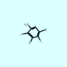 O=[N+]([O-])c1cc(Br)c(F)c(Cl)c1F